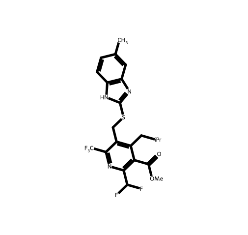 COC(=O)c1c(C(F)F)nc(C(F)(F)F)c(CSc2nc3cc(C)ccc3[nH]2)c1CC(C)C